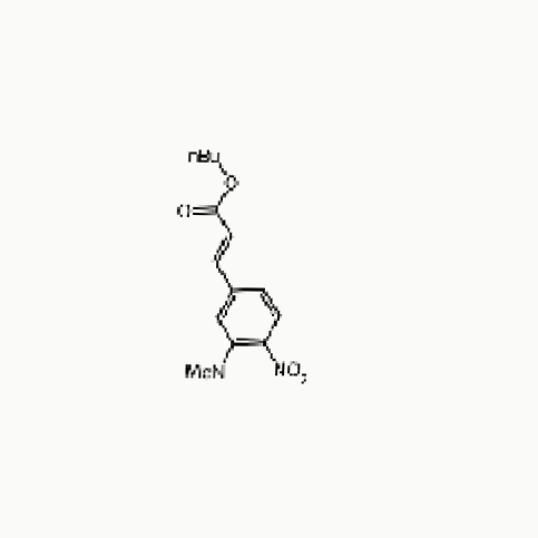 CCCCOC(=O)/C=C/c1ccc([N+](=O)[O-])c(NC)c1